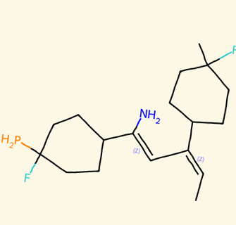 C/C=C(\C=C(/N)C1CCC(F)(P)CC1)C1CCC(C)(F)CC1